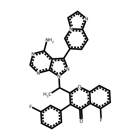 CC(c1oc2cccc(F)c2c(=O)c1-c1cccc(F)c1)n1nc(-c2ccc3nccn3c2)c2c(N)ncnc21